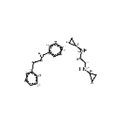 c1ccc(CCOc2ccc([C@@H]3C[C@H]3NCCNC3CC3)cc2)cc1